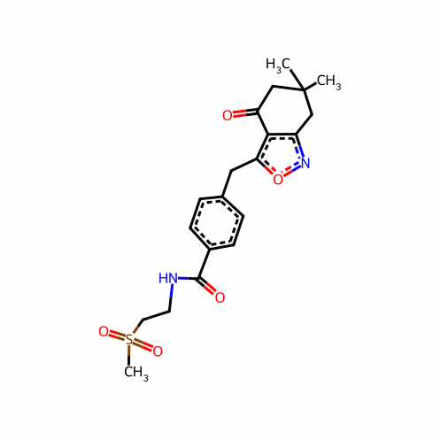 CC1(C)CC(=O)c2c(noc2Cc2ccc(C(=O)NCCS(C)(=O)=O)cc2)C1